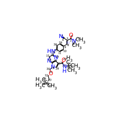 CN(C)C(=O)/C(C#N)=C/c1ccc(Nc2cnc3c(n2)c(C(=O)NC(C)(C)C)cn3COCC[Si](C)(C)C)cc1